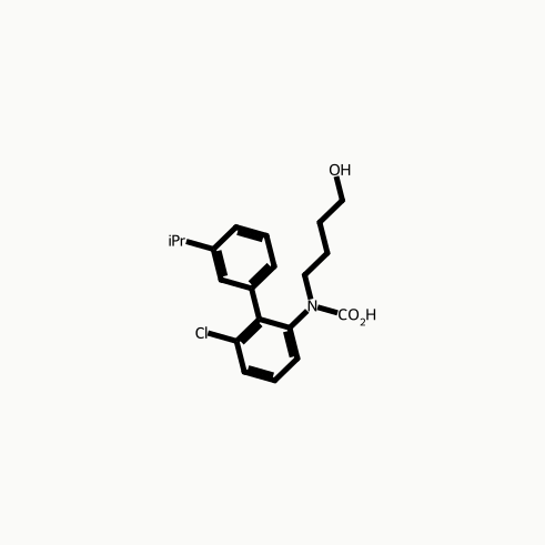 CC(C)c1cccc(-c2c(Cl)cccc2N(CCCCO)C(=O)O)c1